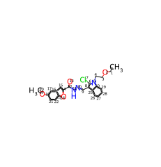 CCOCCn1c(Cl)c(C=NNC(=O)c2cc3cc(OC)ccc3o2)c2ccccc21